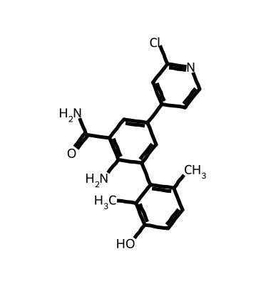 Cc1ccc(O)c(C)c1-c1cc(-c2ccnc(Cl)c2)cc(C(N)=O)c1N